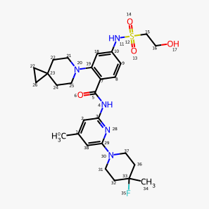 Cc1cc(NC(=O)c2ccc(NS(=O)(=O)CCO)cc2N2CCC3(CC2)CC3)nc(N2CCC(C)(F)CC2)c1